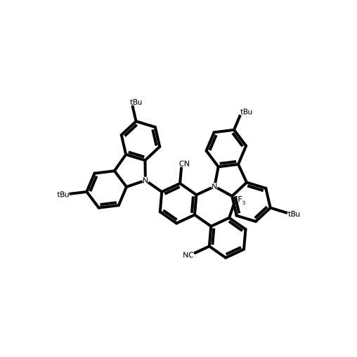 CC(C)(C)C1=CC2c3cc(C(C)(C)C)ccc3N(c3ccc(-c4c(C#N)cccc4C(F)(F)F)c(-n4c5ccc(C(C)(C)C)cc5c5cc(C(C)(C)C)ccc54)c3C#N)C2C=C1